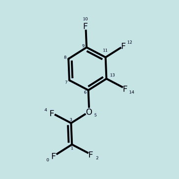 FC(F)=C(F)Oc1ccc(F)c(F)c1F